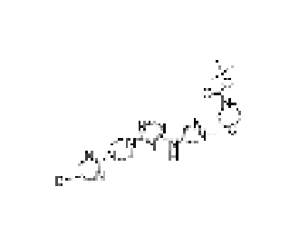 CC(C)(C)OC(=O)N1CCO[C@H](Cn2cc(Nc3ncnc(N4CCN(c5ncc(Br)cn5)CC4)n3)cn2)C1